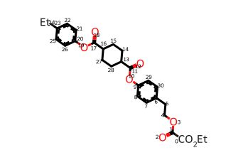 CCOC(=O)C(=O)OCCc1ccc(OC(=O)C2CCC(C(=O)Oc3ccc(CC)cc3)CC2)cc1